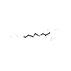 [CH2]C(CCCCCCCCCCC)CCCCCCCCCCCCCCCC